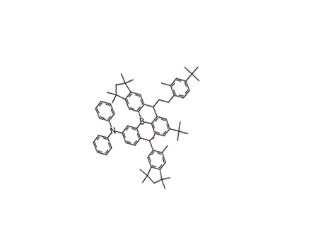 Cc1cc(C(C)(C)C)ccc1CCC1c2cc3c(cc2B(c2cc(N(c4ccccc4)c4ccccc4)ccc2C(C)c2cc4c(cc2C)C(C)(C)CC4(C)C)c2c(C)cc(C(C)(C)C)cc21)C(C)(C)CC3(C)C